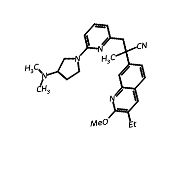 CCc1cc2ccc(C(C)(C#N)Cc3cccc(N4CCC(N(C)C)C4)n3)cc2nc1OC